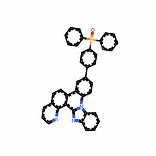 O=P(c1ccccc1)(c1ccccc1)c1ccc(-c2ccc3c(c2)c2ccc4cccnc4c2c2nc4ccccc4n32)cc1